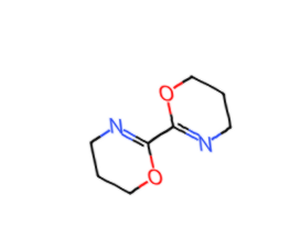 C1CN=C(C2=NCCCO2)OC1